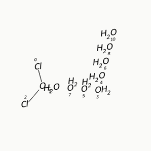 ClOCl.O.O.O.O.O.O.O.O